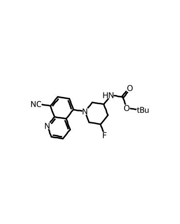 CC(C)(C)OC(=O)NC1CC(F)CN(c2ccc(C#N)c3ncccc23)C1